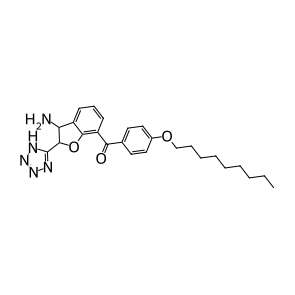 CCCCCCCCCOc1ccc(C(=O)c2cccc3c2OC(c2nnn[nH]2)C3N)cc1